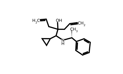 C=CCC(O)(CC=C)C(N[C@H](C)c1ccccc1)C1CC1